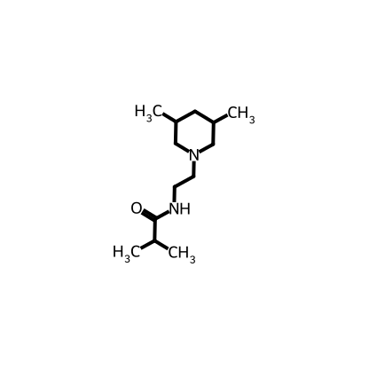 CC1CC(C)CN(CCNC(=O)C(C)C)C1